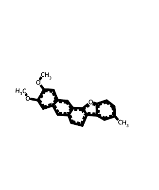 COc1cc2cc3ccc4c5cc(C)ccc5oc4c3cc2cc1OC